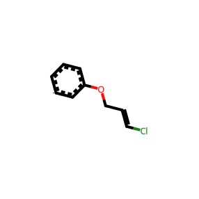 ClC=CCOc1c[c]ccc1